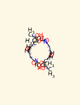 C/C=C/[C@H](O)C(C)(C)[C@@H]1C/C=C\[C@H]2O[C@H]2/C=C/C=C\c2nc(co2)C(=O)O[C@H](C(C)(C)[C@@H](O)/C=C/C)C/C=C\[C@H]2O[C@H]2/C=C/C=C\c2nc(co2)C(=O)O1